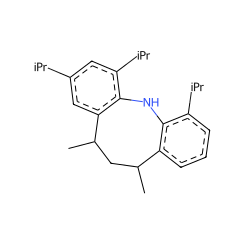 CC(C)c1cc(C(C)C)c2c(c1)C(C)CC(C)c1cccc(C(C)C)c1N2